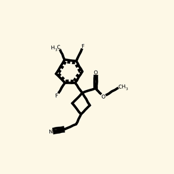 COC(=O)C1(c2cc(F)c(C)cc2F)CC(CC#N)C1